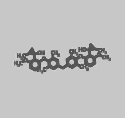 COc1cccc(Oc2c(C)cc(Cc3cc(C)c(Oc4cccc(OC)c4C4(O)C=C4C)c(C)c3)cc2C)c1C1(O)C=C1C